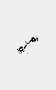 Cc1c(O)c(=O)ccn1CCNC(=O)OCc1ccc(C(F)(F)F)cc1